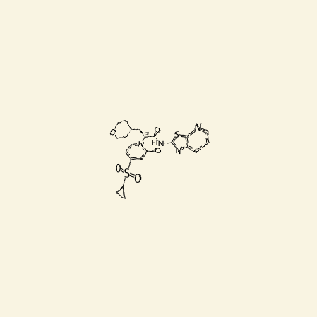 O=C(Nc1nc2cccnc2s1)[C@H](CC1CCOCC1)n1ccc(S(=O)(=O)C2CC2)cc1=O